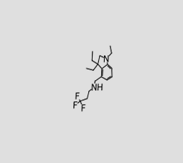 CCN1CC(CC)(CC)c2c(CNCCC(F)(F)F)cccc21